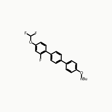 CCCCOc1ccc(-c2ccc(-c3ccc(OC(F)F)cc3F)cc2)cc1